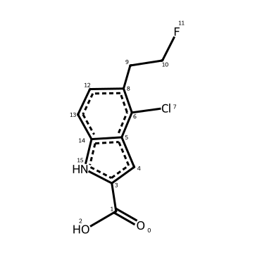 O=C(O)c1cc2c(Cl)c(CCF)ccc2[nH]1